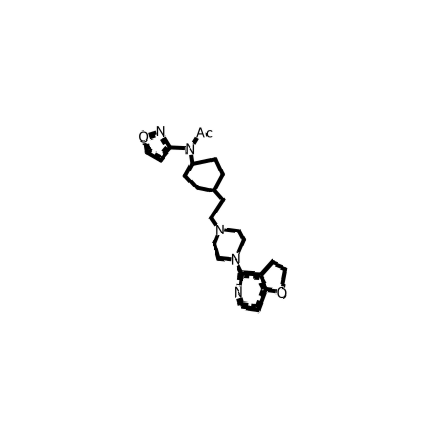 CC(=O)N(c1ccon1)C1CCC(CCN2CCN(c3nccc4c3CCO4)CC2)CC1